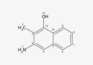 Cc1c(N)cc2ccccc2c1O